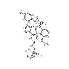 COc1cccc(OC)c1S(=O)(=O)N(COCC[Si](C)(C)C)c1noc2c1CC1(CC1)c1ccc(Br)cc1-2